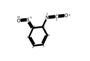 O=C=NC1C=CC=CC1=S=O